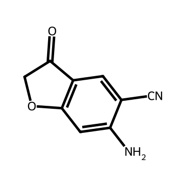 N#Cc1cc2c(cc1N)OCC2=O